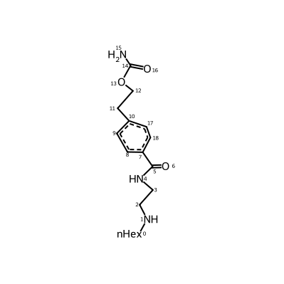 CCCCCCNCCNC(=O)c1ccc(CCOC(N)=O)cc1